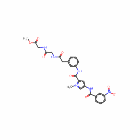 COC(=O)CNC(=O)CNC(=O)Cc1cccc(NC(=O)c2cc(NC(=O)c3cccc([N+](=O)[O-])c3)cn2C)c1